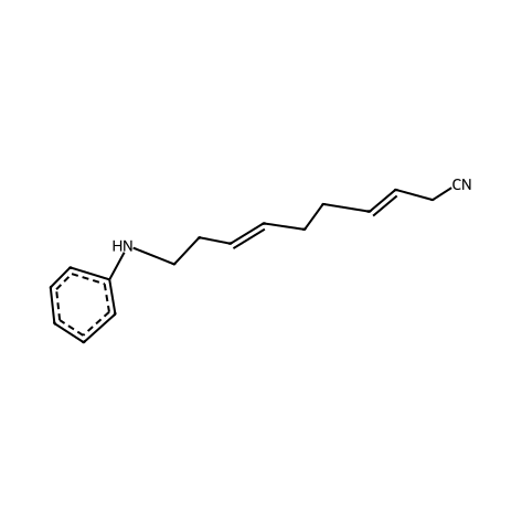 N#CCC=CCCC=CCCNc1ccccc1